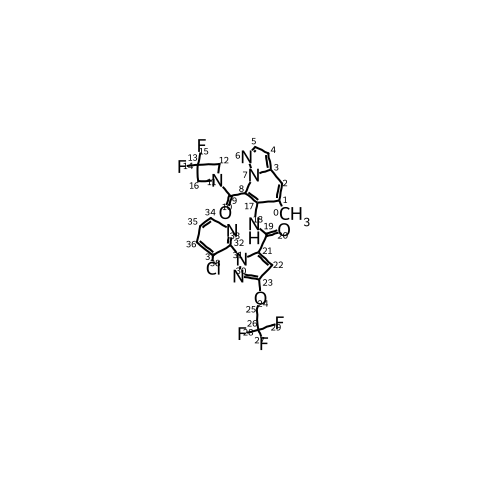 Cc1cc2ccnn2c(C(=O)N2CC(F)(F)C2)c1NC(=O)c1cc(OCC(F)(F)F)nn1-c1ncccc1Cl